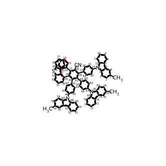 Cc1ccc2c(c1)c1ccccc1n2-c1ccc(-c2c(C#N)c(-c3ccncc3)c(-c3cccc4sc5ccccc5c34)c(-c3ccc(-n4c5ccccc5c5cc(C)ccc54)cc3)c2-c2ccc(-n3c4ccccc4c4cc(C)ccc43)cc2)cc1